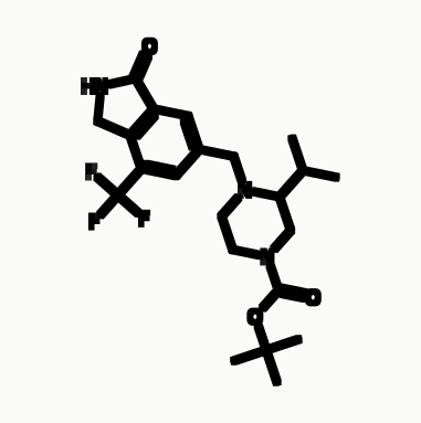 CC(C)C1CN(C(=O)OC(C)(C)C)CCN1Cc1cc2c(c(C(F)(F)F)c1)CNC2=O